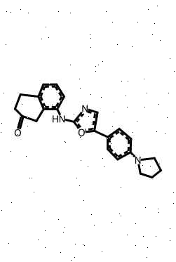 O=C1CCc2cccc(Nc3ncc(-c4ccc(N5CCCC5)cc4)o3)c2C1